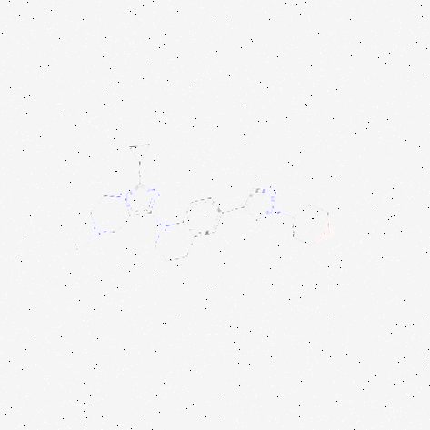 CC(=O)N1CCn2c(C3CC3)nc(N3CCCc4cc(-c5cnn(C6CCOCC6)c5)ccc43)c2C1